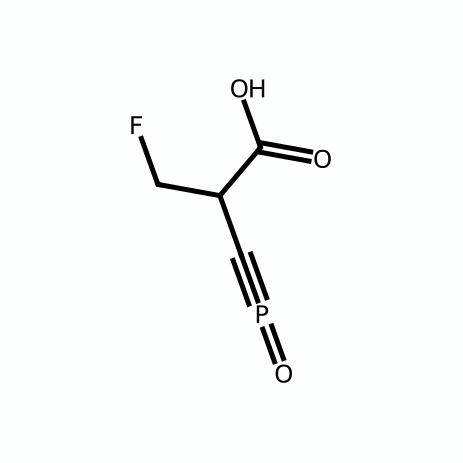 O=P#CC(CF)C(=O)O